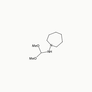 COC(NN1CCCCCC1)OC